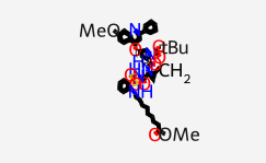 C=CC1CC1(NC(=O)[C@@H]1C[C@@H](Oc2cc(-c3ccccc3)nc3cc(OC)ccc23)CN1C(=O)OC(C)(C)C)C(=O)NS(=O)(=O)c1ccccc1NCCCCCCCCC(=O)OC